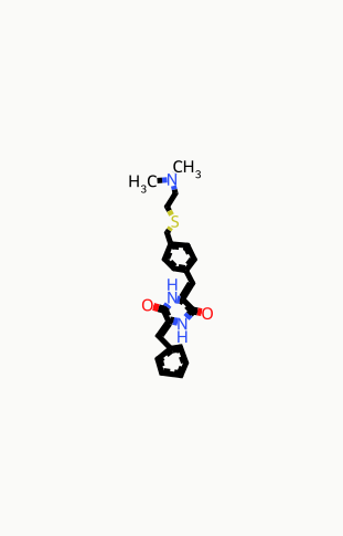 CN(C)CCSCc1ccc(C=c2[nH]c(=O)c(=Cc3ccccc3)[nH]c2=O)cc1